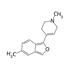 Cc1ccc2c(C3=CCN(C)CC3)occ2c1